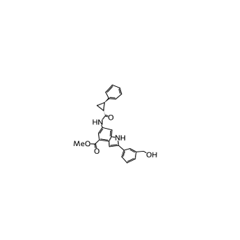 COC(=O)c1cc(NC(=O)[C@@H]2C[C@H]2c2ccccc2)cc2[nH]c(-c3cccc(CO)c3)cc12